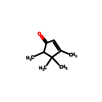 CC1=CC(=O)C(C)C1(C)C